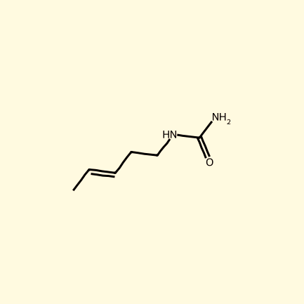 CC=CCCNC(N)=O